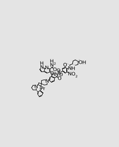 CC(C)c1ccccc1[C@H]1CCCN1C1CC2(CCN(c3ccc(C(=O)NS(=O)(=O)c4cc5c(c([N+](=O)[O-])c4)N[C@@H]([C@H]4CC[C@](C)(O)CC4)CO5)c(Oc4cc5cc[nH]c5nc4C(N)=O)c3)CC2)C1